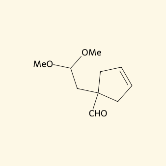 COC(CC1(C=O)CC=CC1)OC